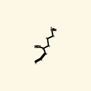 C=C=CC(O)CCCCCCC